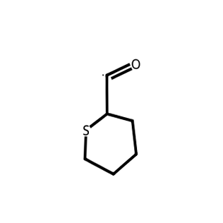 O=[C]C1CCCCS1